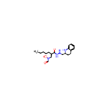 CCCCCC(CN(O)C=O)C(=O)NNCC1CCc2ccccc2N1